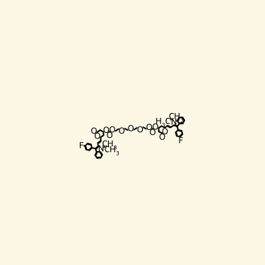 CC(C)n1c(/C=C/C2CC(OC(=O)OCCOCCOCCOCCOC(=O)OC3CC(=O)OC(/C=C/c4c(-c5ccc(F)cc5)c5ccccc5n4C(C)C)C3)CC(=O)O2)c(-c2ccc(F)cc2)c2ccccc21